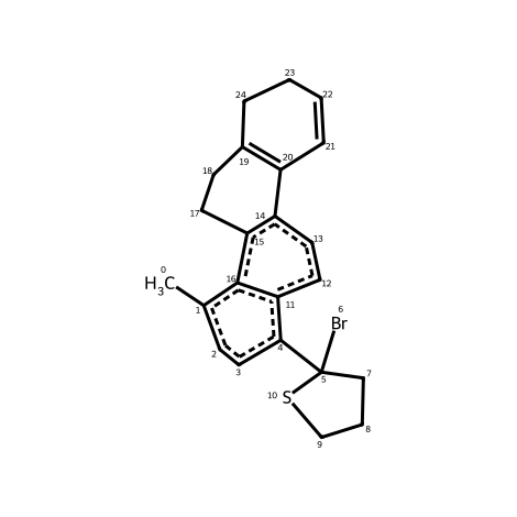 Cc1ccc(C2(Br)CCCS2)c2ccc3c(c12)CCC1=C3C=CCC1